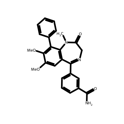 COc1cc2c(c(-c3ccccc3)c1OC)N(C)C(=O)CN=C2c1cccc(C(N)=O)c1